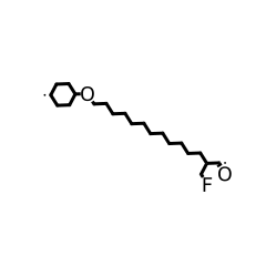 O=[C]C(CF)CCCCCCCCCCCCOC1CC[CH]CC1